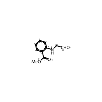 COC(=O)c1ccccc1NC[C]=O